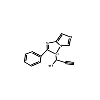 C#CC(O)[SH]1C(c2ccccc2)=Nc2cncn21